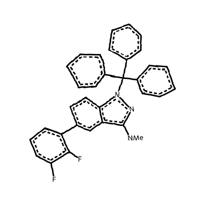 CNc1nn(C(c2ccccc2)(c2ccccc2)c2ccccc2)c2ccc(-c3cccc(F)c3F)cc12